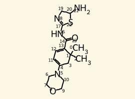 CC1(C)CC(N2CCOCC2)=CC=C1C(=O)NC1=NCC(N)S1